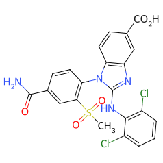 CS(=O)(=O)c1cc(C(N)=O)ccc1-n1c(Nc2c(Cl)cccc2Cl)nc2cc(C(=O)O)ccc21